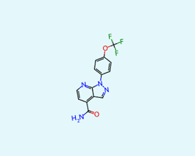 NC(=O)c1ccnc2c1cnn2-c1ccc(OC(F)(F)F)cc1